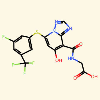 O=C(O)CNC(=O)c1c(O)cc(Sc2cc(F)cc(C(F)(F)F)c2)n2ncnc12